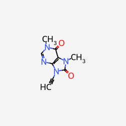 C#Cn1c(=O)n(C)c2c(=O)n(C)cnc21